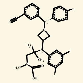 CN(CC(C)(C)[C@H](c1cc(F)cc(F)c1)C1CN([C@@H](c2ccc(Cl)cc2)c2cccc(C#N)c2)C1)C(=O)O